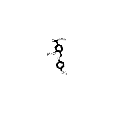 COC(=O)c1ccc(COc2ccc(C)cc2)c(OC)c1